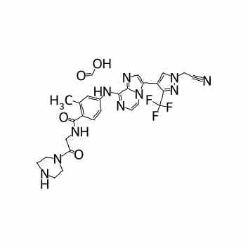 Cc1cc(Nc2nccn3c(-c4cn(CC#N)nc4C(F)(F)F)cnc23)ccc1C(=O)NCC(=O)N1CCNCC1.O=CO